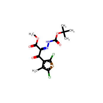 COC(=O)/C(=N\NC(=O)OC(C)(C)C)C(=O)c1c(Cl)sc(Cl)c1C